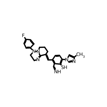 Cc1cn(-c2ccc(/C=C3\CCCN4C3=NCCN4c3ccc(F)cc3)c(C=N)c2S)cn1